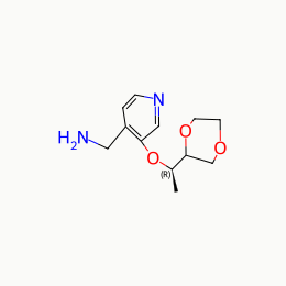 C[C@@H](Oc1cnccc1CN)C1COCCO1